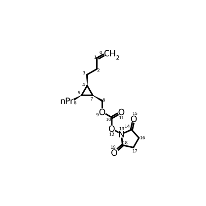 C=CCC[C@@H]1[C@H](CCC)[C@@H]1COC(=O)ON1C(=O)CCC1=O